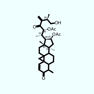 C=C(C(=O)[C@H](OC(C)=O)[C@@H](C)[C@H]1[C@@H](OC(C)=O)C[C@@]2(C)C3CCC4C(C)C(=O)C=CC45CC35CC[C@]12C)[C@@H](C)CO